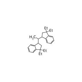 CCC1(CC)CC(C(C)C2CC(CC)(CC)c3ccccc32)c2ccccc21